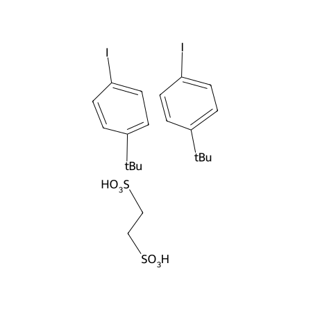 CC(C)(C)c1ccc(I)cc1.CC(C)(C)c1ccc(I)cc1.O=S(=O)(O)CCS(=O)(=O)O